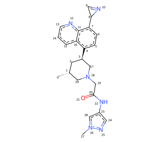 C[C@@H]1C[C@@H](c2ccc(C3C=N3)c3ncccc23)CN(CC(=O)Nc2cnn(C)c2)C1